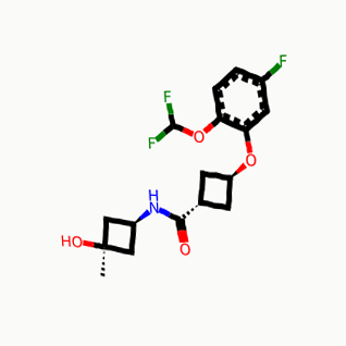 C[C@]1(O)C[C@@H](NC(=O)[C@H]2C[C@H](Oc3cc(F)ccc3OC(F)F)C2)C1